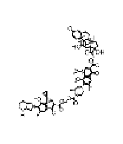 COc1c(N2CC3CCCNC3C2)c(F)cc2c(=O)c(C(=O)OCOC(=O)N3CCN(c4c(F)cc5c(=O)c(C(=O)OCC(=O)[C@]6(O)CC[C@@H]7[C@H]8CCC9=CC(=O)C=C[C@@]9(C)[C@@H]8[C@H](O)C[C@]76C)cn(C6CC6)c5c4OC)CC3C)cn(C3CC3)c12